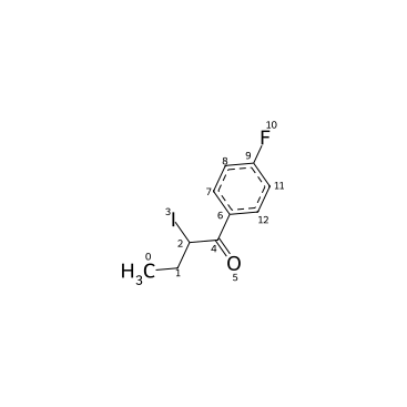 CCC(I)C(=O)c1ccc(F)cc1